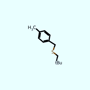 Cc1ccc(CSCC(C)(C)C)cc1